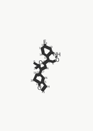 CC1(C)O/C(=C2/CONc3cc(F)ccc32)C=C1c1ccc2occc2c1